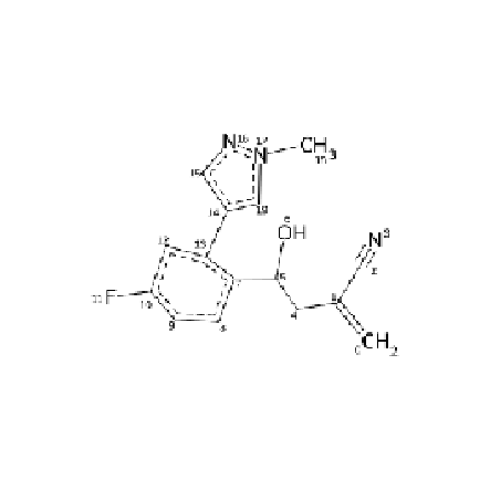 C=C(C#N)CC(O)c1ccc(F)cc1-c1cnn(C)c1